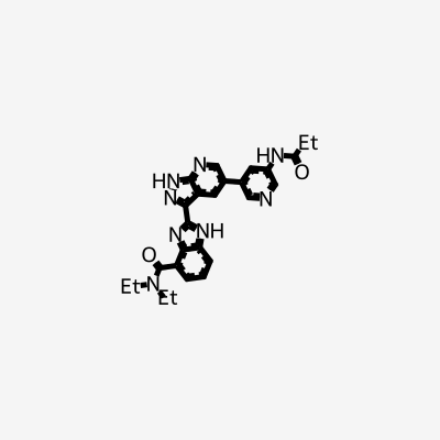 CCC(=O)Nc1cncc(-c2cnc3[nH]nc(-c4nc5c(C(=O)N(CC)CC)cccc5[nH]4)c3c2)c1